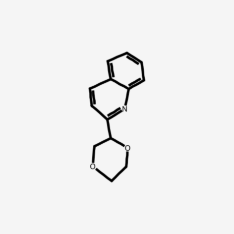 c1ccc2nc(C3COCCO3)ccc2c1